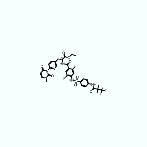 CCOC(=O)[C@H](Cc1ccc(-n2c(=O)ccn(C)c2=O)nc1)NC(=O)c1cc(F)c(NS(=O)(=O)c2ccc(NC(=O)C(C)(C)C(F)(F)F)cc2)cc1F